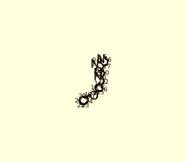 CN(C)c1ncccc1C1CC(Cc2ccc(OCc3ccccc3)cc2)=NO1